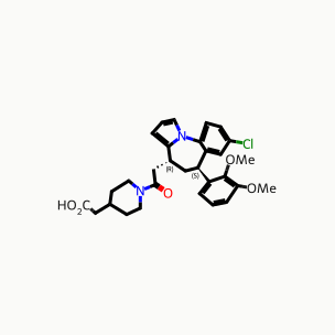 COc1cccc([C@H]2C[C@H](CC(=O)N3CCC(CC(=O)O)CC3)c3cccn3-c3ccc(Cl)cc32)c1OC